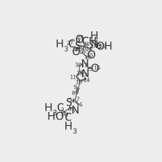 CC(C)(O)c1ncc(C#Cc2cc3n(c2)C(=O)N(CCC(C)(C(=O)NO)S(C)(=O)=O)C3)s1